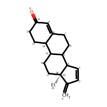 C=C1C=CC2C3CCC4=CC(=O)CCC4C3CC[C@]12CC